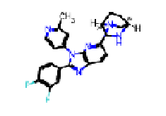 Cc1cc(-n2c(-c3ccc(F)c(F)c3)nc3ccc(N4C[C@H]5CC[C@@H]4CN5)nc32)ccn1